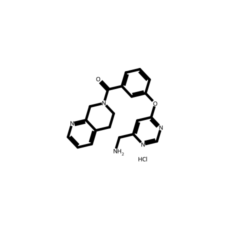 Cl.NCc1cc(Oc2cccc(C(=O)N3CCc4cccnc4C3)c2)ncn1